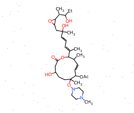 CCC(O)C(C)C1OC1CC(C)(O)/C=C/C=C(\C)C1OC(=O)CC(O)CCC(C)(ON2CCN(C)CC2)C(OC(C)=O)/C=C/C1C